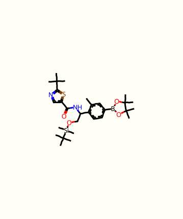 Cc1cc(B2OC(C)(C)C(C)(C)O2)ccc1C(CO[Si](C)(C)C(C)(C)C)NC(=O)c1cnc(C(C)(C)C)s1